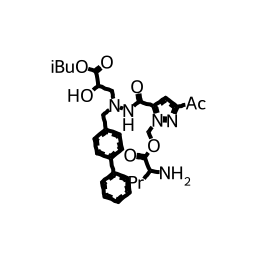 CC(=O)c1cc(C(=O)NN(Cc2ccc(-c3ccccc3)cc2)CC(O)C(=O)OCC(C)C)n(COC(=O)C(N)C(C)C)n1